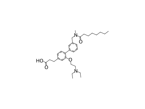 CCCCCCCC(=O)N(C)Cc1cccc(-c2ccc(CCC(=O)O)cc2OCCN(CC)CC)c1